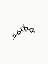 Cn1cc(-c2ccc(C(=O)Nc3nc(-c4ccc(F)nc4)ccc3N)nc2)nn1